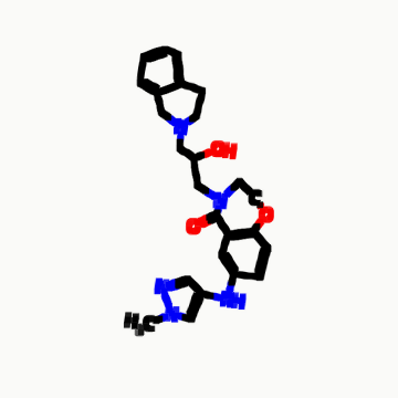 Cn1cc(Nc2ccc3c(c2)C(=O)N(CC(O)CN2CCc4ccccc4C2)CCO3)cn1